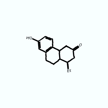 CCC1CC(=O)CC2c3ccc(O)cc3CCC12